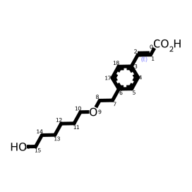 O=C(O)/C=C/c1ccc(CCOCCCCCCO)cc1